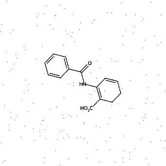 O=C(O)C1=C(NC(=O)c2ccccc2)C=CCC1